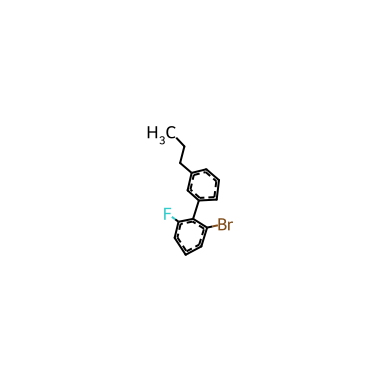 CCCc1cccc(-c2c(F)cccc2Br)c1